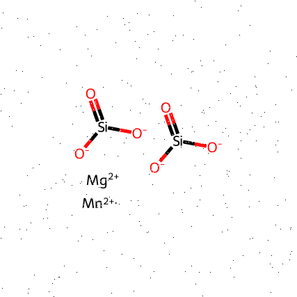 O=[Si]([O-])[O-].O=[Si]([O-])[O-].[Mg+2].[Mn+2]